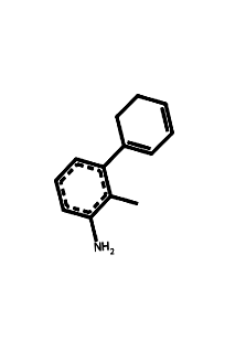 Cc1c(N)cccc1C1=CC=CCC1